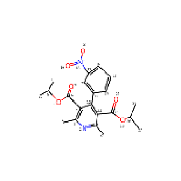 Cc1nc(C)c(C(=O)OC(C)C)c(-c2cccc([N+](=O)[O-])c2)c1C(=O)OC(C)C